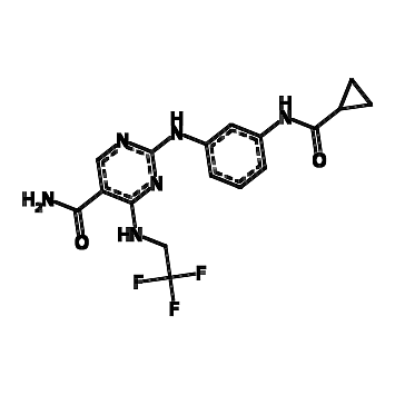 NC(=O)c1cnc(Nc2cccc(NC(=O)C3CC3)c2)nc1NCC(F)(F)F